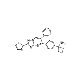 NC1(c2ccc(-c3nc4nc(-c5nccs5)nn4cc3-c3ccccc3)cc2)CCC1